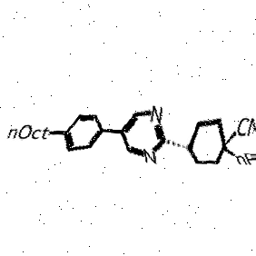 CCCCCCCCc1ccc(-c2cnc([C@H]3CC[C@@](C#N)(CCC)CC3)nc2)cc1